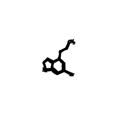 CCON1C=C(Br)C=C2NCC=C21